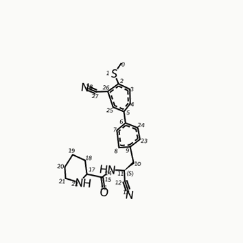 CSc1ccc(-c2ccc(C[C@@H](C#N)NC(=O)C3CCCCN3)cc2)cc1C#N